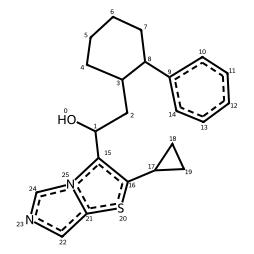 OC(CC1CCCCC1c1ccccc1)c1c(C2CC2)sc2cncn12